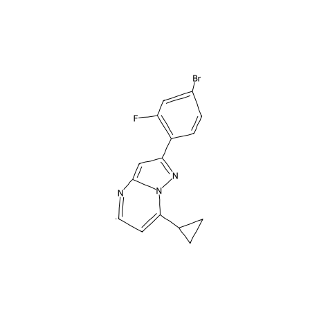 Fc1cc(Br)ccc1-c1cc2n[c]cc(C3CC3)n2n1